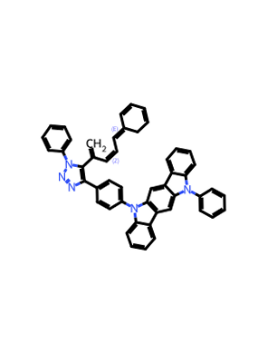 C=C(/C=C\C=C1\C=CC=CC1)c1c(-c2ccc(-n3c4ccccc4c4cc5c(cc43)c3ccccc3n5-c3ccccc3)cc2)nnn1-c1ccccc1